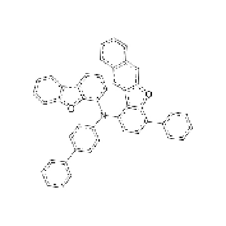 c1ccc(-c2ccc(N(c3cccc4c3oc3ccccc34)c3ccc(-c4ccccc4)c4oc5cc6ccccc6cc5c34)cc2)cc1